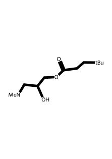 CNCC(O)COC(=O)CCC(C)(C)C